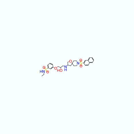 CCNS(=O)(=O)c1cccc(OCC(O)CNC2COC3(CCN(S(=O)(=O)c4ccc5ccccc5c4)CC3)C2)c1